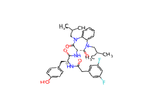 CC(C)CN1C(=O)C(NC(=O)[C@H](Cc2ccc(O)cc2)NC(=O)Cc2cc(F)cc(F)c2)C(=O)N(CC(C)C)c2ccccc21